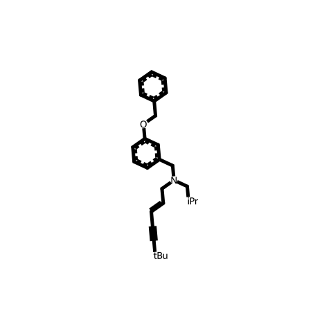 CC(C)CN(CC=CC#CC(C)(C)C)Cc1cccc(OCc2ccccc2)c1